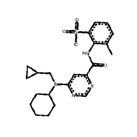 Cc1cccc(S(=O)(=O)Cl)c1NC(=O)c1cc(N(CC2CC2)C2CCCCC2)ncn1